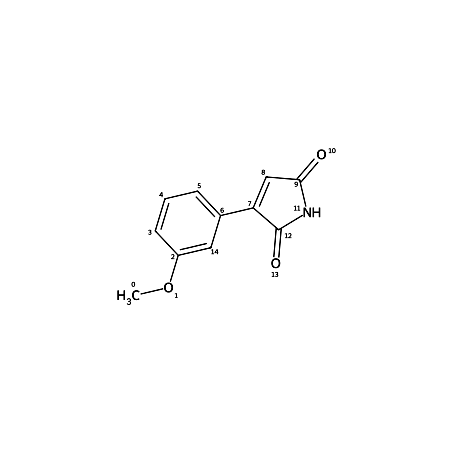 COc1cccc(C2=CC(=O)NC2=O)c1